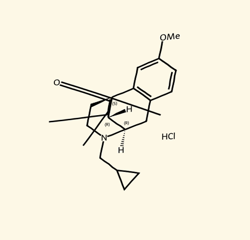 COc1ccc2c(c1)[C@]13CCN(CC4CC4)[C@H](C2)[C@@H]1C(C)C(C)C(=O)C3.Cl